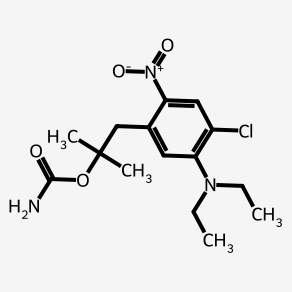 CCN(CC)c1cc(CC(C)(C)OC(N)=O)c([N+](=O)[O-])cc1Cl